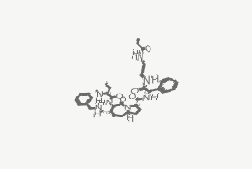 CCC(=O)NCCNC(=O)[C@@H](NC(=O)[C@@H]1CC[C@@H]2CC[C@H](CNCc3ccccc3)[C@H](NC(=O)[C@H](CC)NC)C(=O)N21)c1ccccc1